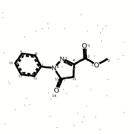 COC(=O)C1=NN(c2ccccc2)C(=O)C1